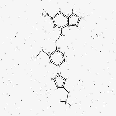 CN(C)Cc1cn(-c2ccc(COc3cc(N)nc4[nH]nnc34)c(OC(F)(F)F)c2)cn1